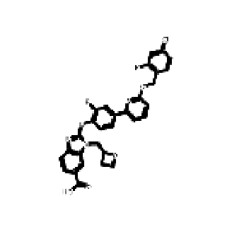 O=C(O)c1ccc2nc(Oc3ccc(-c4cccc(OCc5ccc(Cl)cc5F)n4)cc3F)n(CC3CCO3)c2c1